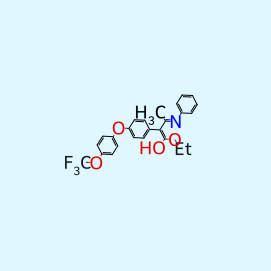 CCOC(O)=C(C(C)=Nc1ccccc1)c1ccc(Oc2ccc(OC(F)(F)F)cc2)cc1